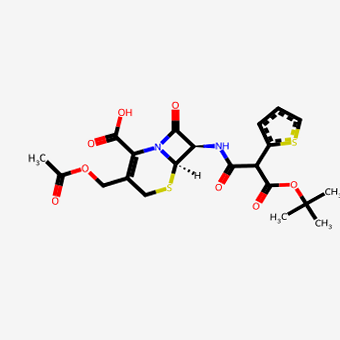 CC(=O)OCC1=C(C(=O)O)N2C(=O)[C@@H](NC(=O)C(C(=O)OC(C)(C)C)c3cccs3)[C@H]2SC1